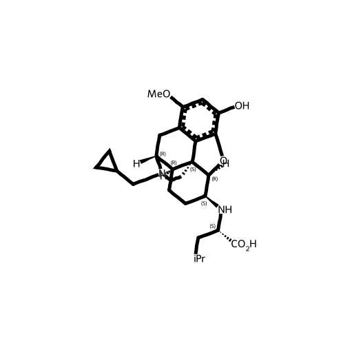 COc1cc(O)c2c3c1C[C@@H]1[C@@H]4CC[C@H](N[C@@H](CC(C)C)C(=O)O)[C@H](O2)[C@]34CCN1CC1CC1